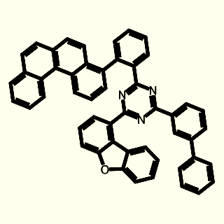 c1ccc(-c2cccc(-c3nc(-c4ccccc4-c4cccc5c4ccc4ccc6ccccc6c45)nc(-c4cccc5oc6ccccc6c45)n3)c2)cc1